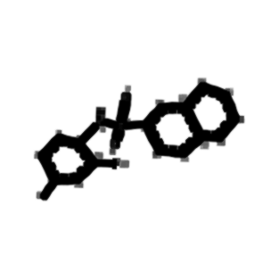 Cc1ccc(NS(=O)(=O)c2ccc3ccccc3c2)c(F)c1